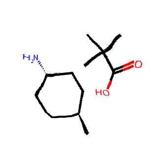 CC(C)(C)C(=O)O.C[C@H]1CC[C@H](N)CC1